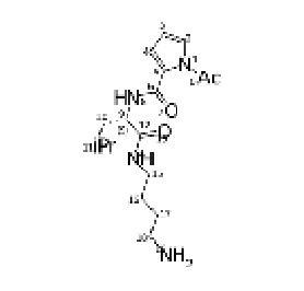 CC(=O)n1cccc1C(=O)N[C@@H](CC(C)C)C(=O)NCCCCN